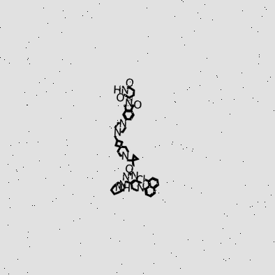 O=C1CC[C@H](N2Cc3cc(N4CCN(CC5CC6(CCN(CC7(COc8nc9c(c(N%10CC%11CCC(C%10)N%11)n8)CCN(c8cccc%10cccc(Cl)c8%10)C9)CC7)CC6)C5)CC4)ccc3C2=O)C(=O)N1